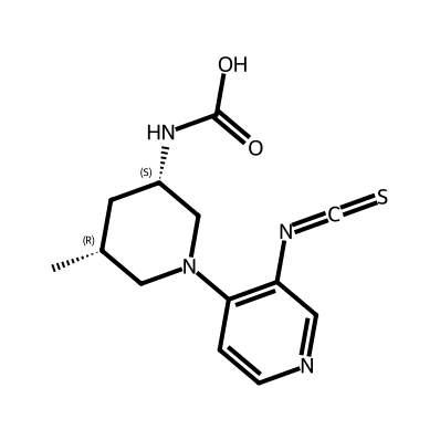 C[C@@H]1C[C@H](NC(=O)O)CN(c2ccncc2N=C=S)C1